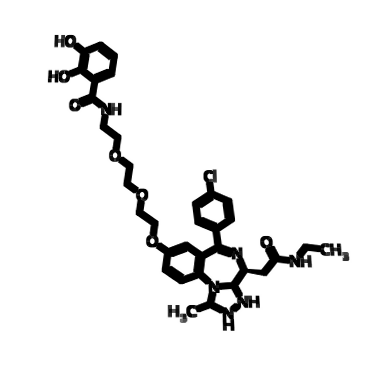 CCNC(=O)C[C@@H]1N=C(c2ccc(Cl)cc2)c2cc(OCCOCCOCCNC(=O)c3cccc(O)c3O)ccc2N2C(C)NNC12